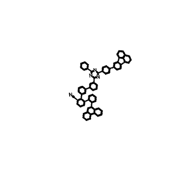 N#Cc1cccc(-c2ccccc2-c2cc3ccccc3c3ccccc23)c1-c1cccc(-c2cccc(-c3nc(-c4ccccc4)nc(-c4ccc(-c5ccc6c(c5)-c5cccc7cccc-6c57)cc4)n3)c2)c1